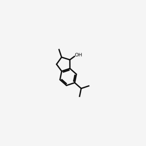 CC(C)c1ccc2c(c1)C(O)C(C)C2